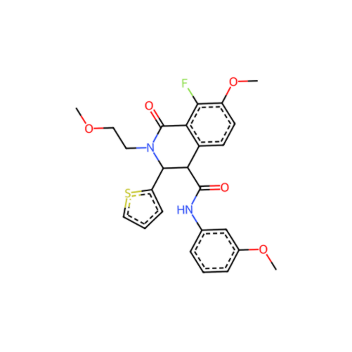 COCCN1C(=O)c2c(ccc(OC)c2F)C(C(=O)Nc2cccc(OC)c2)C1c1cccs1